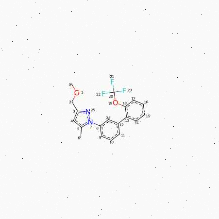 COCc1cc(C)n(-c2cccc(-c3ccccc3OC(F)(F)F)c2)n1